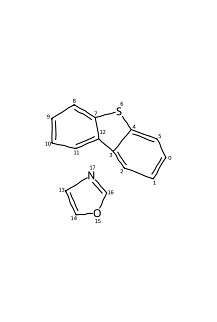 c1ccc2c(c1)sc1ccccc12.c1cocn1